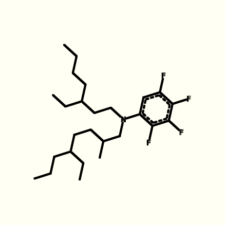 CCCCC(CC)CCN(CC(C)CCC(CC)CCC)c1cc(F)c(F)c(F)c1F